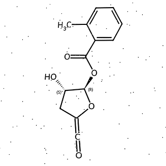 Cc1ccccc1C(=O)O[C@H]1OC(=C=O)C[C@@H]1O